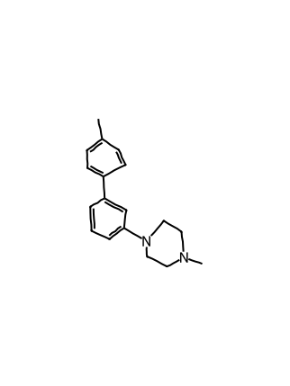 Cc1ccc(-c2cccc(N3CCN(C)CC3)c2)cc1